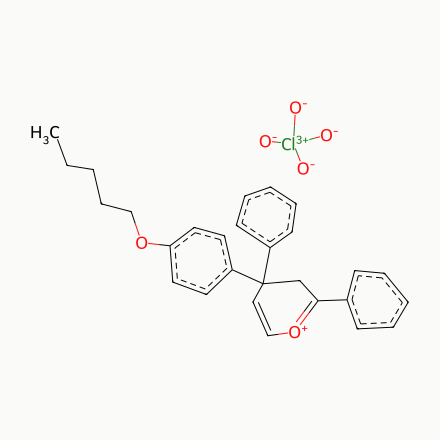 CCCCCOc1ccc(C2(c3ccccc3)C=C[O+]=C(c3ccccc3)C2)cc1.[O-][Cl+3]([O-])([O-])[O-]